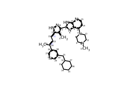 C=c1c(-c2nc3c(N4CCN(C)CC4)ccnc3[nH]2)n[nH]/c1=C/C=C(\C)c1cncc(CC2CCCCC2)c1